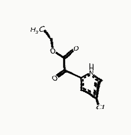 CCOC(=O)C(=O)c1cc(Cl)c[nH]1